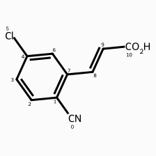 N#Cc1ccc(Cl)cc1C=CC(=O)O